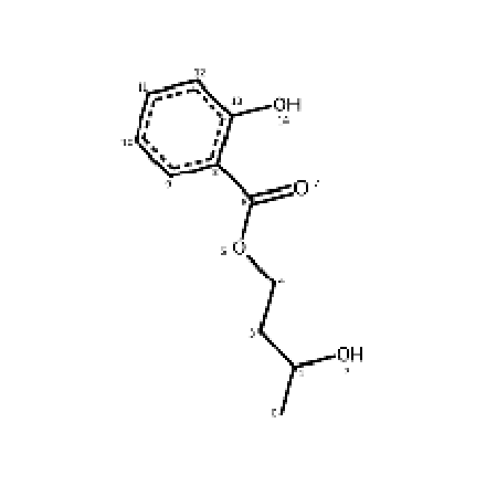 CC(O)CCOC(=O)c1ccccc1O